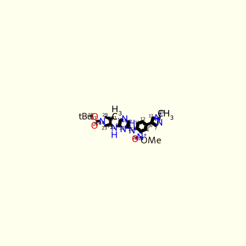 CO[N+](=O)c1cc(-c2cnn(C)c2)ccc1Nc1cncc(N[C@H]2CN(C(=O)OC(C)(C)C)C[C@H]2C)n1